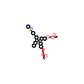 C=CC(=O)OCCOc1ccc2cc(C3(c4ccc5cc(OCCOC(=O)C=C)ccc5c4)c4ccc(-c5ccc(-c6nc7ccccc7s6)cc5)cc4-c4cc5ccccc5cc43)ccc2c1